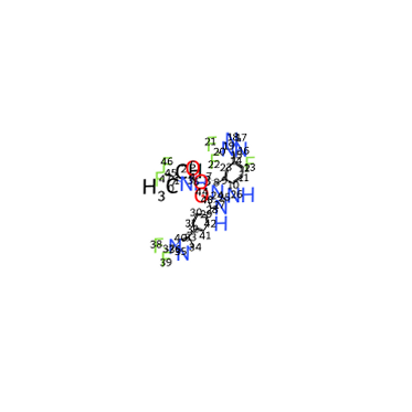 CC(C)(NC(=O)OC[C@H](c1ccc(F)c(-c2ncnn2C(F)F)c1)N1C(=N)N[C@H](c2ccc(-c3cnn(C(F)F)c3)cc2)C1=O)C(F)F